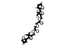 CC1(C)C(COC(=O)COCC(=O)OCC2OC(c3ccco3)C2(C)C)OC1c1ccco1